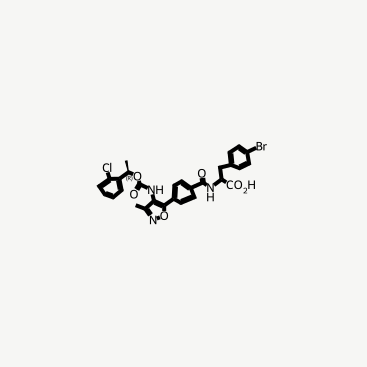 Cc1noc(-c2ccc(C(=O)NC(Cc3ccc(Br)cc3)C(=O)O)cc2)c1NC(=O)O[C@H](C)c1ccccc1Cl